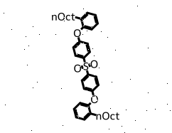 CCCCCCCCc1ccccc1Oc1ccc(S(=O)(=O)c2ccc(Oc3ccccc3CCCCCCCC)cc2)cc1